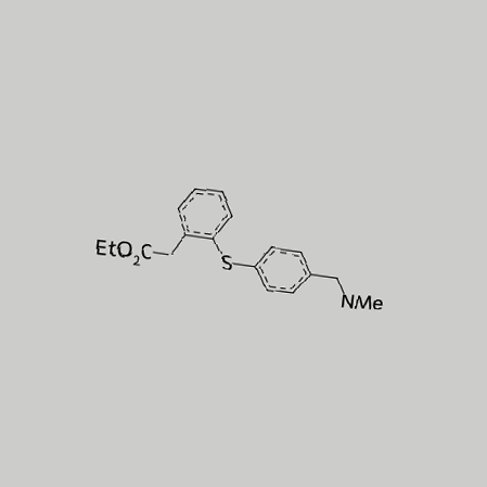 CCOC(=O)Cc1ccccc1Sc1ccc(CNC)cc1